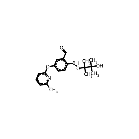 Cc1cccc(Oc2ccc(BOC(C)(C)C(C)(C)O)c(C=O)c2)n1